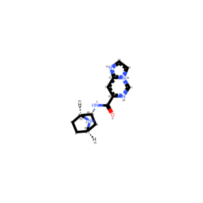 O=C(N[C@@H]1C[C@H]2CC[C@@H]1N2)c1cc2nccn2cn1